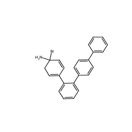 NC1(Br)C=CC(c2ccccc2-c2ccc(-c3ccccc3)cc2)=CC1